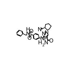 N#CC1CCCCC1n1cc(C(N)=O)c(Nc2ccc(S(=O)(=O)NCc3ccccc3)cc2)n1